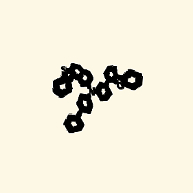 c1ccc(-c2ccc(N(c3cccc(-c4cccc5c4oc4ccccc45)c3)c3ccc4ccc5sc6ccccc6c5c4c3)cc2)cc1